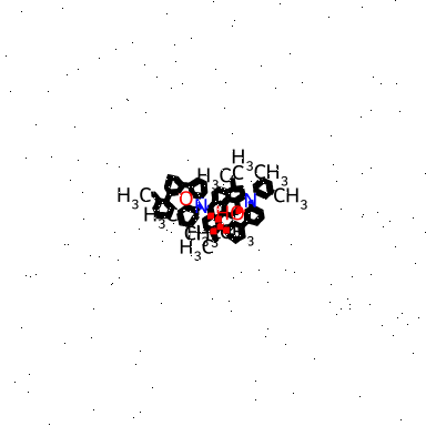 CCc1ccccc1-c1cccc(-c2cccc(N(c3cc(C)cc(C)c3)c3cc(C(C)C)c4ccc5c(N(c6cc(C)cc(C)c6)c6cccc7c6oc6c(-c8ccccc8CC)cccc67)cc(C(C)C)c6ccc3c4c65)c2O)c1